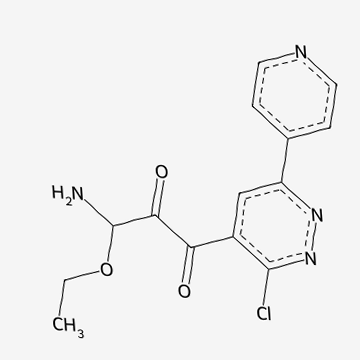 CCOC(N)C(=O)C(=O)c1cc(-c2ccncc2)nnc1Cl